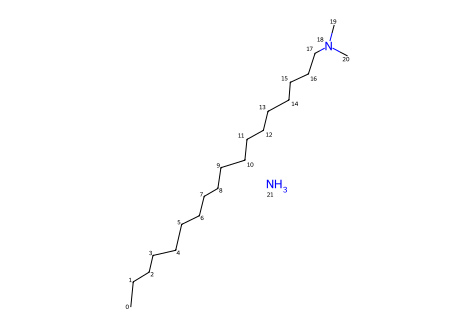 CCCCCCCCCCCCCCCCCCN(C)C.N